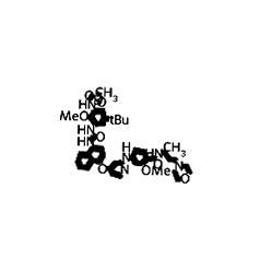 COc1cc(Nc2cc(Oc3ccc(NC(=O)Nc4cc(C(C)(C)C)cc(NS(C)(=O)=O)c4OC)c4ccccc34)ccn2)ccc1C(=O)N[C@@H](C)CCN1CCOCC1